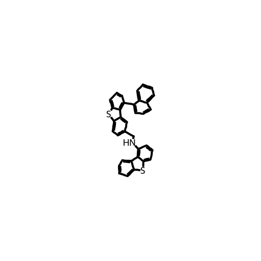 c1ccc2c(-c3cccc4sc5ccc(CNc6cccc7sc8ccccc8c67)cc5c34)cccc2c1